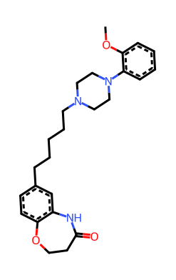 COc1ccccc1N1CCN(CCCCCc2ccc3c(c2)NC(=O)CCO3)CC1